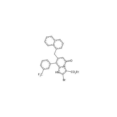 CCOC(=O)c1c(Br)[nH]c2c(-c3cccc(C(F)(F)F)c3)c(Cc3cccc4ccccc34)cc(=O)n12